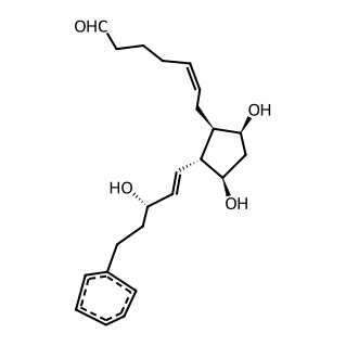 O=CCCC/C=C\C[C@@H]1[C@@H](/C=C/[C@@H](O)CCc2ccccc2)[C@H](O)C[C@@H]1O